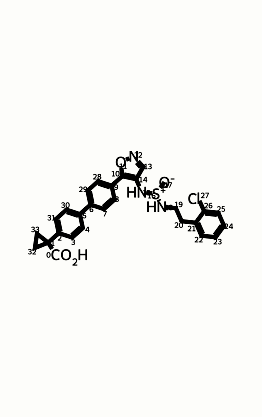 O=C(O)C1(c2ccc(-c3ccc(-c4oncc4N[S+]([O-])NCCc4ccccc4Cl)cc3)cc2)CC1